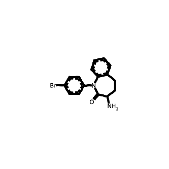 NC1CCc2ccccc2N(c2ccc(Br)cc2)C1=O